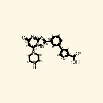 O=C(O)c1cc(-c2cccc(-c3nn4c(N5CCNCC5)cc(=O)nc4s3)c2)cs1